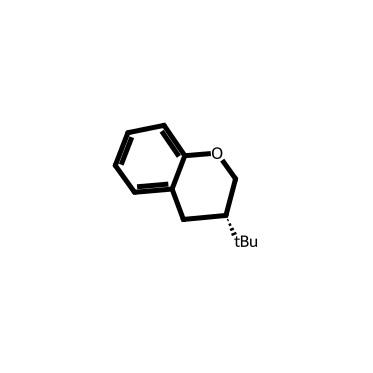 CC(C)(C)[C@H]1COc2ccccc2C1